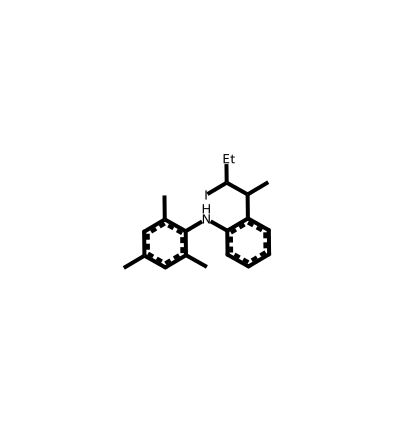 CCC(I)C(C)c1ccccc1Nc1c(C)cc(C)cc1C